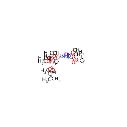 CC(C)[C@H]1CC[C@]2(C)OB(CCc3ccc(OC4CN(C(=O)C[C@H](CCC(=O)OCc5ccccc5)NC(=O)OC(C)(C)C)C4)c(C(O)OC(C)(C)C)c3OC(=O)OC(C)(C)C)O[C@@H]2C1